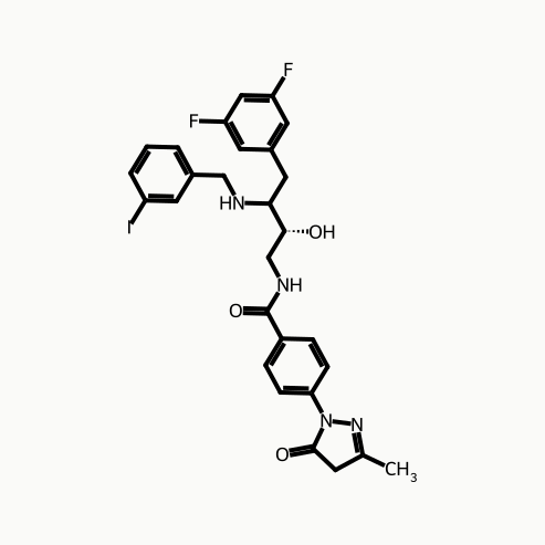 CC1=NN(c2ccc(C(=O)NC[C@@H](O)C(Cc3cc(F)cc(F)c3)NCc3cccc(I)c3)cc2)C(=O)C1